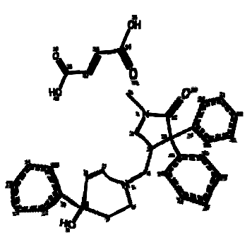 CN1CC(CN2CCC(O)(c3ccccc3)CC2)C(c2ccccc2)(c2ccccc2)C1=O.O=C(O)C=CC(=O)O